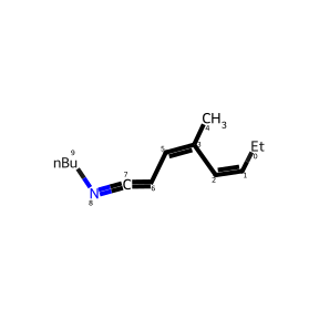 CC/C=C\C(C)=C/C=C=NCCCC